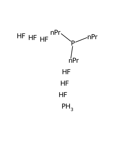 CCCP(CCC)CCC.F.F.F.F.F.F.P